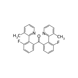 Cc1cccnc1-c1c(F)cccc1C(=O)c1cccc(F)c1-c1ncccc1C